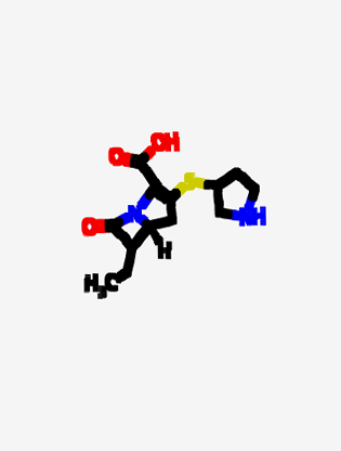 CCC1C(=O)N2C(C(=O)O)=C(SC3CCNC3)C[C@H]12